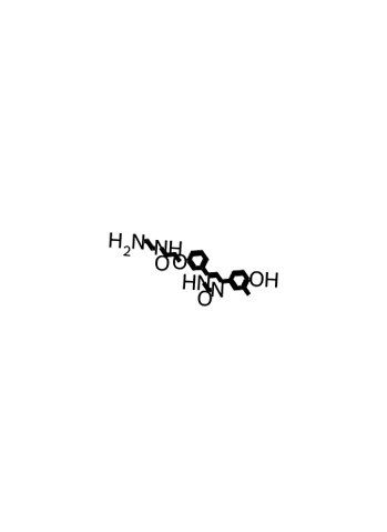 Cc1cc(-c2cc(-c3cccc(OCC(=O)NCCN)c3)[nH]c(=O)n2)ccc1O